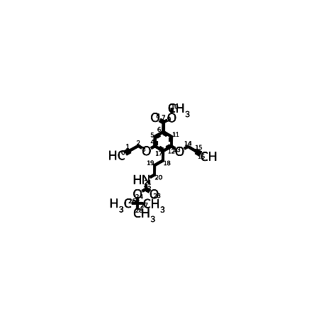 C#CCOc1cc(C(=O)OC)cc(OCC#C)c1CCCNC(=O)OC(C)(C)C